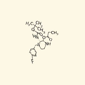 CCC(=O)OC1NCCN(Cc2ccc(F)cc2)[C@@H]1NC(=O)OC(C)(C)C